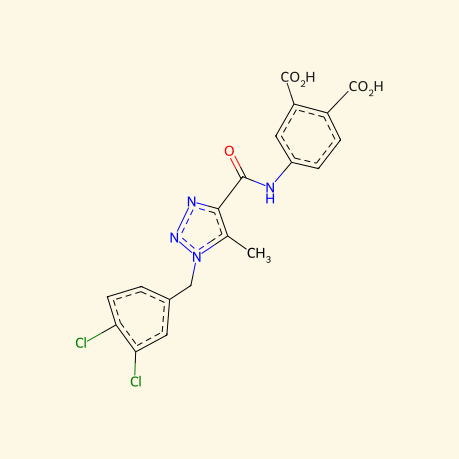 Cc1c(C(=O)Nc2ccc(C(=O)O)c(C(=O)O)c2)nnn1Cc1ccc(Cl)c(Cl)c1